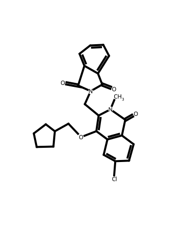 Cn1c(CN2C(=O)c3ccccc3C2=O)c(OCC2CCCC2)c2cc(Cl)ccc2c1=O